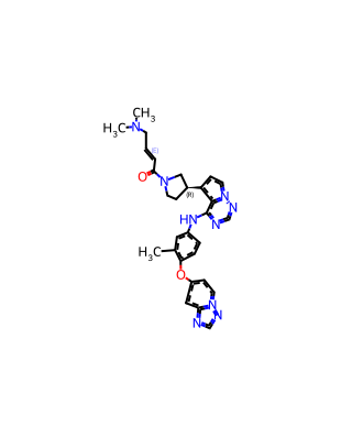 Cc1cc(Nc2ncnn3ccc([C@H]4CCN(C(=O)/C=C/CN(C)C)C4)c23)ccc1Oc1ccn2ncnc2c1